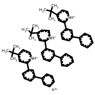 CC(C)(C)c1cc[nH+]c(-c2cccc(-c3ccccc3)c2)c1.CC(C)(C)c1cc[nH+]c(-c2cccc(-c3ccccc3)c2)c1.CC(C)(C)c1cc[nH+]c(-c2cccc(-c3ccccc3)c2)c1.[Ir+3]